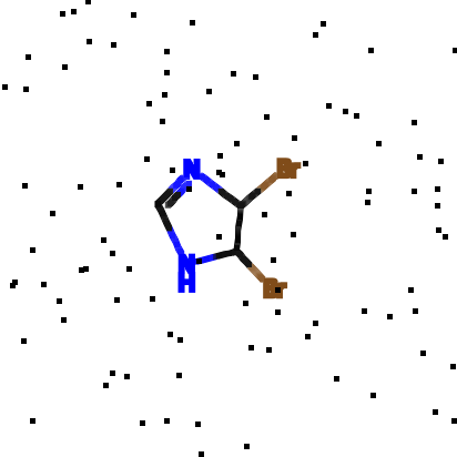 BrC1N=CNC1Br